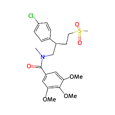 COc1cc(C(=O)N(C)CC(CCS(C)(=O)=O)c2ccc(Cl)cc2)cc(OC)c1OC